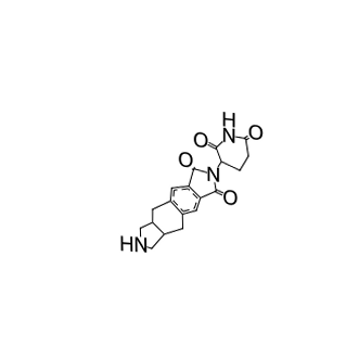 O=C1CCC(N2C(=O)c3cc4c(cc3C2=O)CC2CNCC2C4)C(=O)N1